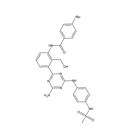 CC(C)(C)c1ccc(C(=O)Nc2cccc(-c3nc(N)nc(Nc4ccc(NS(C)(=O)=O)cc4)n3)c2CO)cc1